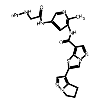 CCCNCC(=O)Nc1cnc(C)c(NC(=O)c2cnn3cc(-c4cnn5c4CCC5)sc23)c1